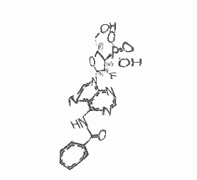 O=C(Nc1ncnc2c1ncn2[C@@H]1O[C@H](CO)[C@@H](P(=O)(O)O)[C@@H]1F)c1ccccc1